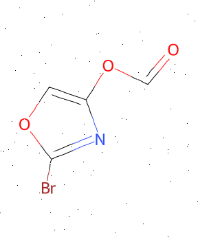 O=COc1coc(Br)n1